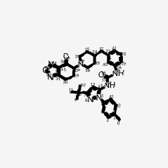 Cc1ccc(-n2nc(C(C)(C)C)cc2NC(=O)Nc2cccc(CC3CCN(C4CCc5nonc5C4=O)CC3)c2)cc1